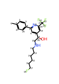 Cc1ccc(-c2cc([C@@H](O)CNCCCCCCF)cc(C(F)(F)F)n2)cc1